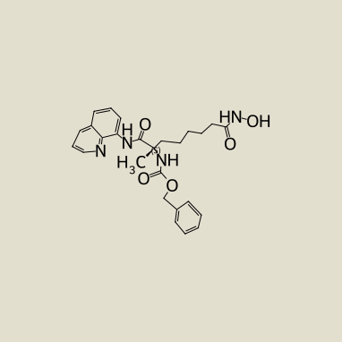 C[C@@](CCCCCC(=O)NO)(NC(=O)OCc1ccccc1)C(=O)Nc1cccc2cccnc12